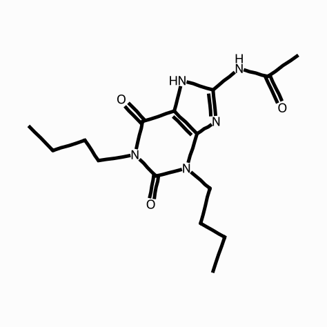 CCCCn1c(=O)c2[nH]c(NC(C)=O)nc2n(CCCC)c1=O